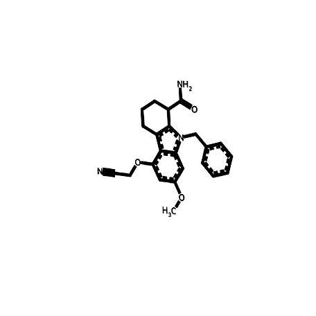 COc1cc(OCC#N)c2c3c(n(Cc4ccccc4)c2c1)C(C(N)=O)CCC3